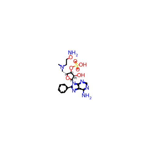 CN(CCON)C[C@H]1O[C@@H](n2c(-c3ccccc3)nc3c(N)ncnc32)[C@H](O)[C@@H]1OS(=O)(=O)O